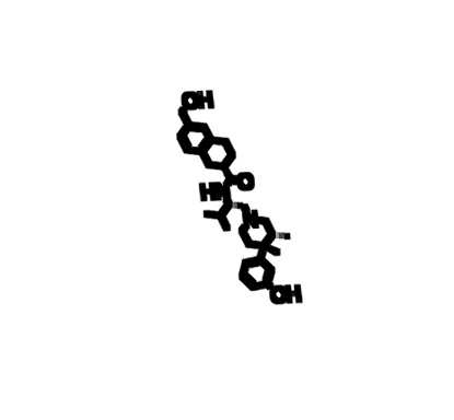 CC(C)[C@@H](CN1CC[C@@](C)(c2cccc(O)c2)[C@@H](C)C1)NC(=O)[C@@H]1CCc2cc(CO)ccc2C1